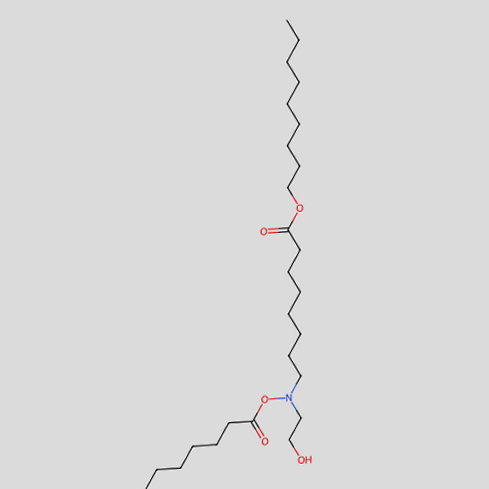 CCCCCCCCCOC(=O)CCCCCCCN(CCO)OC(=O)CCCCCCC